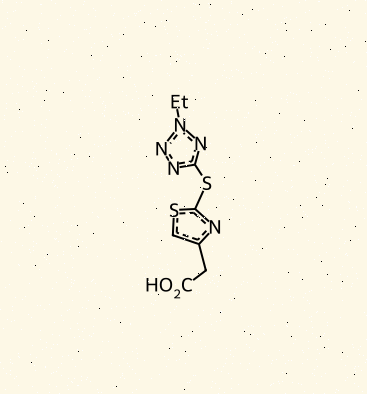 CCn1nnc(Sc2nc(CC(=O)O)cs2)n1